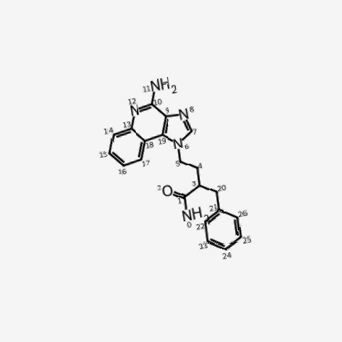 NC(=O)C(CCn1cnc2c(N)nc3ccccc3c21)Cc1ccccc1